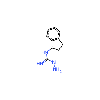 N=C(NN)NC1CCc2ccccc21